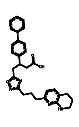 O=C(O)CC(Cc1nc(CCCc2ccc3c(n2)NCCC3)no1)c1ccc(-c2ccccc2)cc1